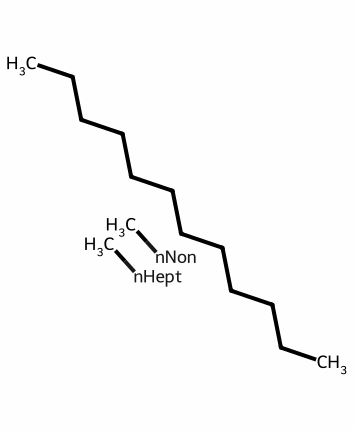 CCCCCCCC.CCCCCCCCCC.CCCCCCCCCCCC